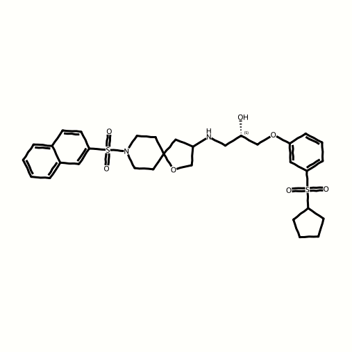 O=S(=O)(c1cccc(OC[C@@H](O)CNC2COC3(CCN(S(=O)(=O)c4ccc5ccccc5c4)CC3)C2)c1)C1CCCC1